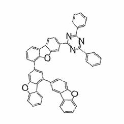 c1ccc(-c2nc(-c3ccccc3)nc(-c3ccc4c(c3)oc3c(-c5cc(-c6ccc7oc8ccccc8c7c6)c6c(c5)oc5ccccc56)cccc34)n2)cc1